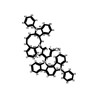 C=C(/C(C#N)=C(\C=C(/C)C#N)n1c2ccccc2c2ccc3c(c4ccccc4n3-c3ccccc3)c21)N1Cc2c(n(-c3ccccc3)c3ccccc23)/C=C\Cc2ccccc21